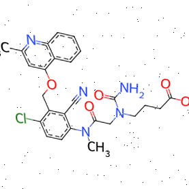 Cc1cc(OCc2c(Cl)ccc(N(C)C(=O)CN(CCCC(=O)O)C(N)=O)c2C#N)c2ccccc2n1